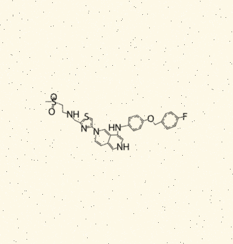 CS(=O)(=O)CCNCc1nc(N2C=CC3=CNC=C(Nc4ccc(OCc5ccc(F)cc5)cc4)C3=C2)cs1